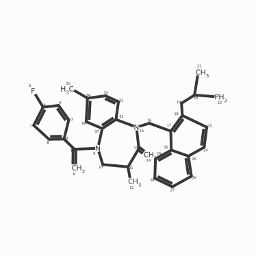 C=C(c1ccc(F)cc1)N1CC(C)C(=C)N(Cc2c(CC(C)P)ccc3ccccc23)c2ccc(C)cc21